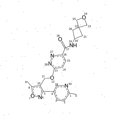 Cc1ccc(-c2noc(C)c2COc2ccc(C(=O)NC3CC4(COC4)C3)nn2)cn1